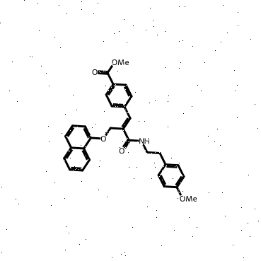 COC(=O)c1ccc(/C=C(\COc2cccc3ccccc23)C(=O)NCCc2ccc(OC)cc2)cc1